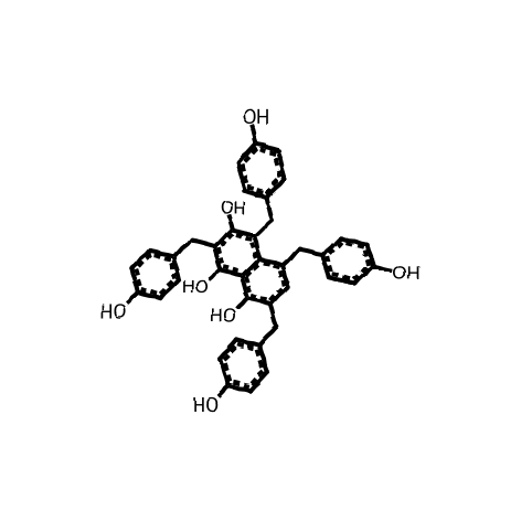 Oc1ccc(Cc2cc(Cc3ccc(O)cc3)c3c(Cc4ccc(O)cc4)c(O)c(Cc4ccc(O)cc4)c(O)c3c2O)cc1